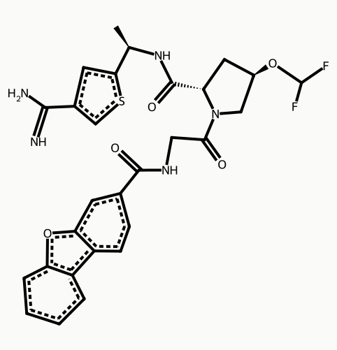 C[C@@H](NC(=O)[C@@H]1C[C@@H](OC(F)F)CN1C(=O)CNC(=O)c1ccc2c(c1)oc1ccccc12)c1cc(C(=N)N)cs1